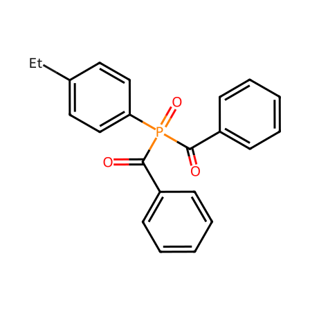 CCc1ccc(P(=O)(C(=O)c2ccccc2)C(=O)c2ccccc2)cc1